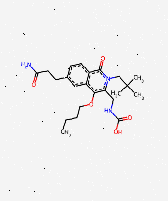 CCCCOc1c(CNC(=O)O)n(CC(C)(C)C)c(=O)c2ccc(CCC(N)=O)cc12